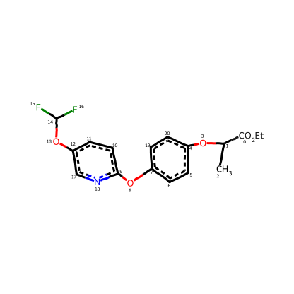 CCOC(=O)C(C)Oc1ccc(Oc2ccc(OC(F)F)cn2)cc1